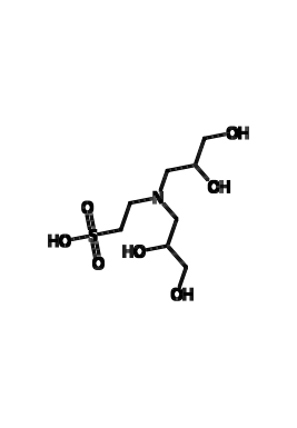 O=S(=O)(O)CCN(CC(O)CO)CC(O)CO